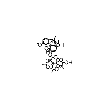 COc1ccc2c3c1O[C@H]1C(OC(=O)[C@H](OC(C)=O)[C@@H](OC(C)=O)C(=O)O[C@@H](C)C(=O)O)=CC[C@@]4(O)[C@@H](C2)N(C)CC[C@]314